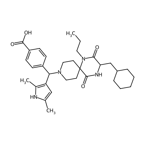 CCCN1C(=O)C(CC2CCCCC2)NC(=O)C12CCN(C(c1ccc(C(=O)O)cc1)c1cc(C)[nH]c1C)CC2